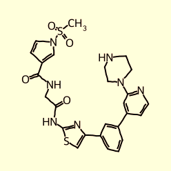 CS(=O)(=O)n1ccc(C(=O)NCC(=O)Nc2nc(-c3cccc(-c4ccnc(N5CCNCC5)c4)c3)cs2)c1